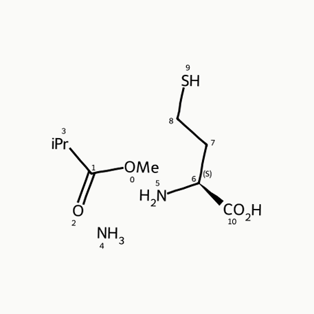 COC(=O)C(C)C.N.N[C@@H](CCS)C(=O)O